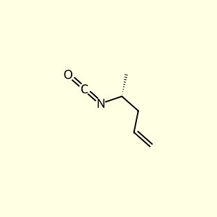 C=CC[C@@H](C)N=C=O